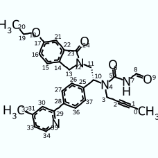 CC#CCN(C(=O)NC=O)[C@@H](CN1Cc2ccc(OCC)cc2C1=O)c1ccc(-c2cc(C)ccn2)cc1